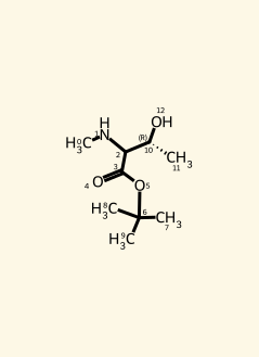 CNC(C(=O)OC(C)(C)C)[C@@H](C)O